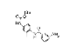 Cc1cc(NC(=O)OC(C)(C)C)ccc1NC(=O)c1cccc(N)c1